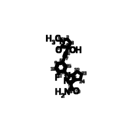 CN1CC[C@@](O)(C#Cc2ccc(F)c(-n3nc(C(N)=O)c4c3CCC4)c2)C1=O